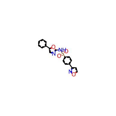 O=S(=O)(Nc1ncc(-c2ccccc2)o1)c1ccc(-c2ccon2)cc1